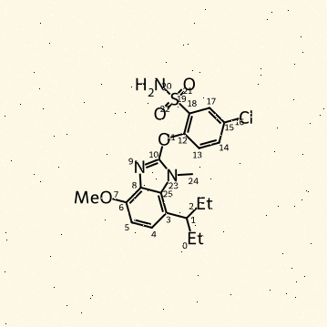 CCC(CC)c1ccc(OC)c2nc(Oc3ccc(Cl)cc3S(N)(=O)=O)n(C)c12